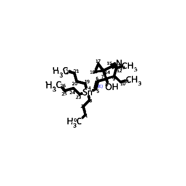 CCC[CH2][Sn](/[CH]=C/C(O)(C(CC)CC)C1(C#N)CC1)([CH2]CCC)[CH2]CCC